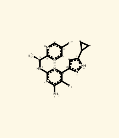 C[C@H](Nc1nc(N)c(F)c(-c2cc(C3CC3)[nH]n2)n1)c1ncc(F)cn1